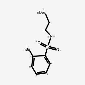 CCCCCCCCCCCCNS(=O)(=O)c1ccccc1CCCC